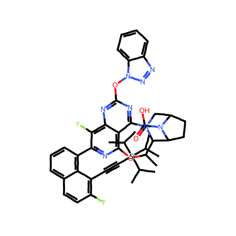 CC1Oc2nc(-c3cccc4ccc(F)c(C#C[Si](C(C)C)(C(C)C)C(C)C)c34)c(F)c3nc(On4nnc5ccccc54)nc(c23)N2CC3CCC(C12)N3C(=O)O